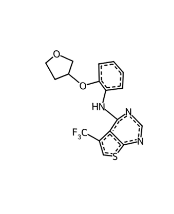 FC(F)(F)c1csc2ncnc(Nc3ccccc3OC3CCOC3)c12